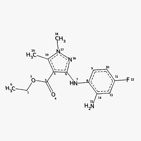 CCOC(=O)c1c(Nc2ccc(F)cc2N)nn(C)c1C